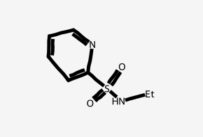 CCNS(=O)(=O)c1ccccn1